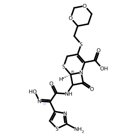 Nc1nc(/C(=N/O)C(=O)NC2C(=O)N3C(C(=O)O)=C(SCC4CCOCO4)CS[C@H]23)cs1